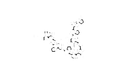 CC[C@H](C)[C@H](NC(=O)[C@@H]1CCCN1C(=O)CNC(=O)[C@@H]1CCCN1C(=O)[C@H](CC(C)C)NC(=O)[C@@H](NC(=O)[C@@H](NC(=O)[C@@H](NC(=O)[C@@H](NC(=O)[C@@H]1CCCN1C(=O)[C@H](CO)NC(=O)[C@@H]1CCCN1)C(C)C)C(C)C)C(C)C)[C@@H](C)O)C(=O)N[C@@H](CC(C)C)C(=O)N[C@@H](CO)C(=O)O